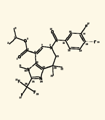 CC(C)OC(=O)C1=CN(C(=O)c2ccc(F)c(F)c2)CC(C)(C)c2nc(C(F)(F)F)n(C)c21